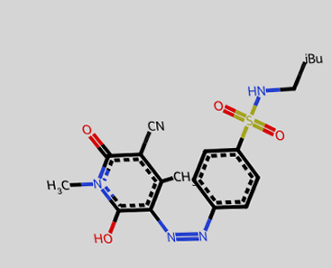 CCC(C)CNS(=O)(=O)c1ccc(/N=N\c2c(C)c(C#N)c(=O)n(C)c2O)cc1